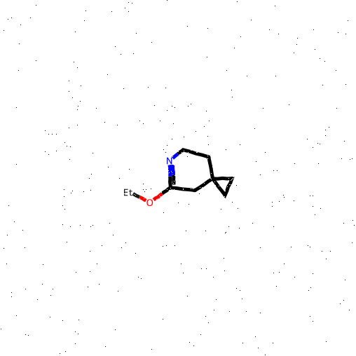 CCOC1=NCCC2(CC2)C1